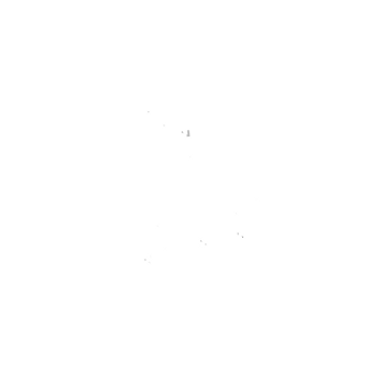 Cn1c(=O)c2cc(S(=O)(=O)NC3(C)CC3)ccc2n(Cc2nccs2)c1=O